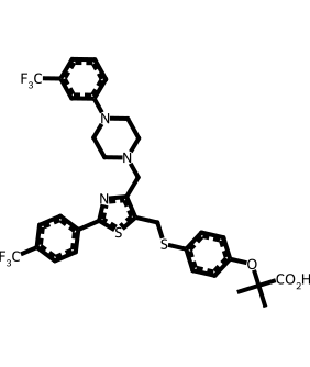 CC(C)(Oc1ccc(SCc2sc(-c3ccc(C(F)(F)F)cc3)nc2CN2CCN(c3cccc(C(F)(F)F)c3)CC2)cc1)C(=O)O